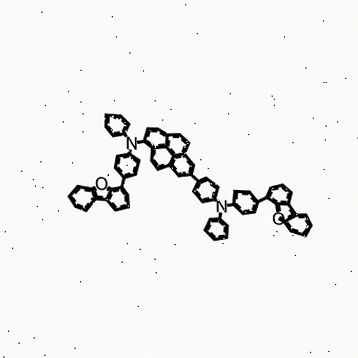 c1ccc(N(c2ccc(-c3cc4ccc5ccc(N(c6ccccc6)c6ccc(-c7cccc8c7oc7ccccc78)cc6)c6ccc(c3)c4c56)cc2)c2ccc(-c3cccc4c3oc3ccccc34)cc2)cc1